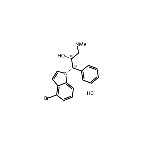 CNC[C@@H](O)[C@H](c1ccccc1)n1ccc2c(Br)cccc21.Cl